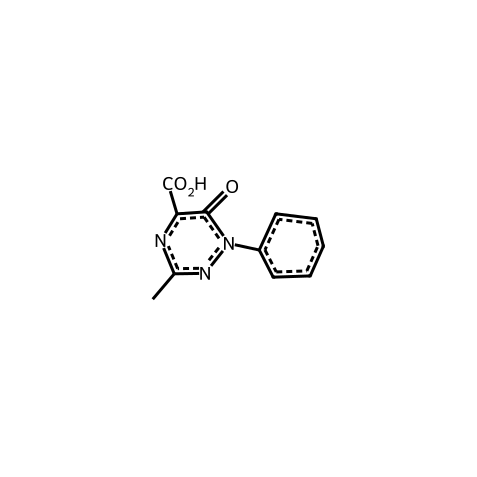 Cc1nc(C(=O)O)c(=O)n(-c2ccccc2)n1